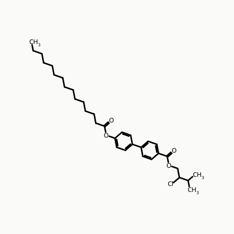 CCCCCCCCCCCCCCC(=O)Oc1ccc(-c2ccc(C(=O)OCC(Cl)C(C)C)cc2)cc1